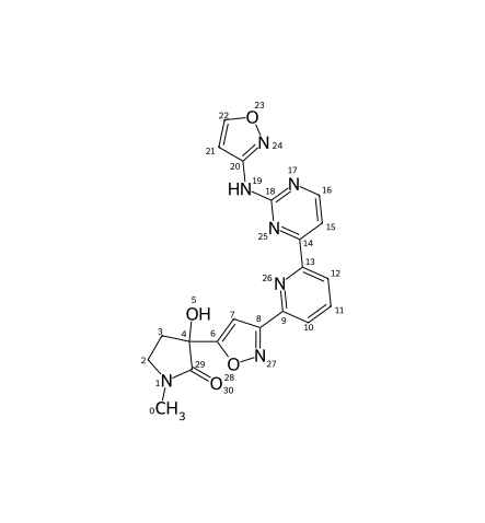 CN1CCC(O)(c2cc(-c3cccc(-c4ccnc(Nc5ccon5)n4)n3)no2)C1=O